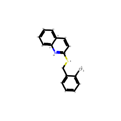 FC(F)(F)c1ccccc1CSc1ccc2ccccc2n1